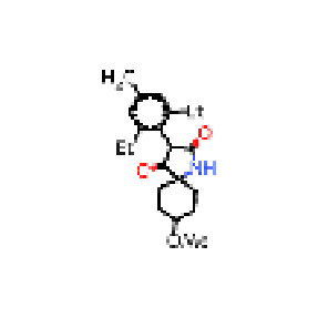 CCc1cc(C)cc(CC)c1C1C(=O)NC2(CCC(OC)CC2)C1=O